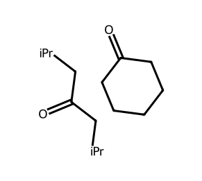 CC(C)CC(=O)CC(C)C.O=C1CCCCC1